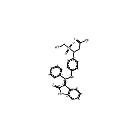 CCS(=O)(=O)N(CC(=O)O)c1ccc(NC(=C2C(=O)Nc3ccccc32)c2ccccc2)cc1